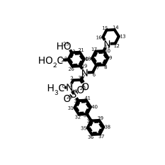 CN(CC(=O)N(Cc1ccc(N2CCCCC2)cc1)c1ccc(O)c(C(=O)O)c1)S(=O)(=O)c1ccc(-c2ccccc2)cc1